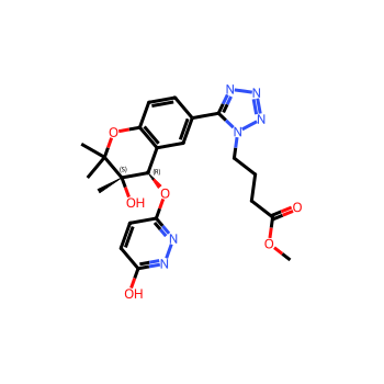 COC(=O)CCCn1nnnc1-c1ccc2c(c1)[C@@H](Oc1ccc(O)nn1)[C@](C)(O)C(C)(C)O2